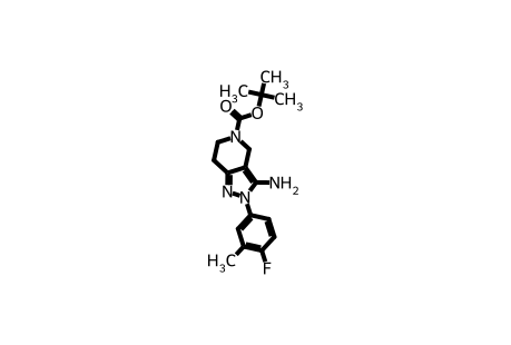 Cc1cc(-n2nc3c(c2N)CN(C(=O)OC(C)(C)C)CC3)ccc1F